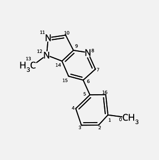 Cc1cccc(-c2cnc3cnn(C)c3c2)c1